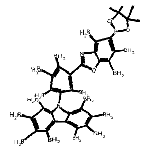 Bc1c(B)c(-c2nc3c(B)c(B4OC(C)(C)C(C)(C)O4)c(B)c(B)c3o2)c(B)c(-n2c3c(B)c(B)c(B)c(B)c3c3c(B)c(B)c(B)c(B)c32)c1B